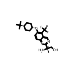 CC(C)(C)[C@H]1CC[C@H](Oc2ccc3nc([C@@](C)(N)CO)ncc3c2C(F)(F)F)CC1